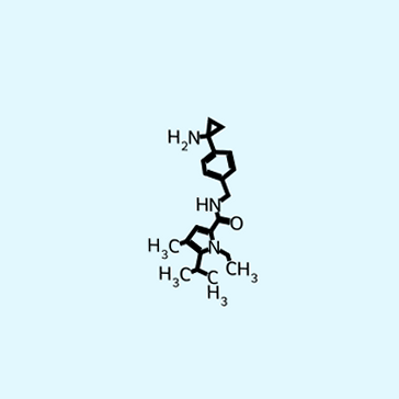 CCn1c(C(=O)NCc2ccc(C3(N)CC3)cc2)cc(C)c1C(C)C